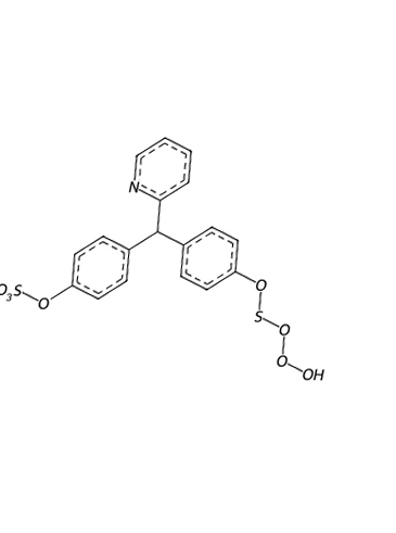 O=S(=O)(O)Oc1ccc(C(c2ccc(OSOOO)cc2)c2ccccn2)cc1